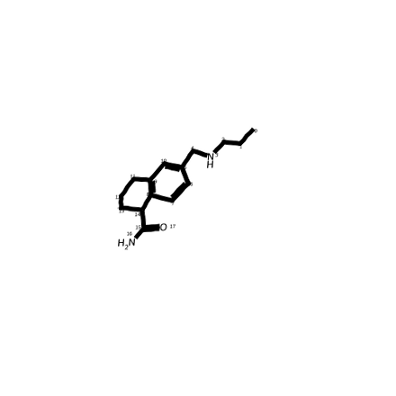 CCCNCc1ccc2c(c1)CC[CH]C2C(N)=O